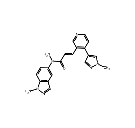 Cn1cc(-c2ccncc2/C=C/C(=O)N(N)c2ccc3c(cnn3N)c2)cn1